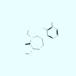 O=C(O)N[C@@H]1CC[C@@H](c2cccc(F)c2F)CN(CC(F)(F)F)C1=S